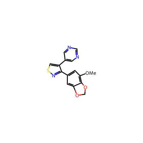 COc1cc(-c2nscc2-c2cncnc2)cc2c1OCO2